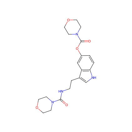 O=C(NCCc1c[nH]c2ccc(OC(=O)N3CCOCC3)cc12)N1CCOCC1